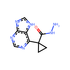 NNC(=O)C1(c2ncnc3nc[nH]c23)CC1